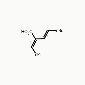 CCC/C=C(\C=C\CCCC)C(=O)O